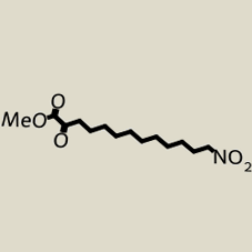 COC(=O)C(=O)CCCCCCCCCCC[N+](=O)[O-]